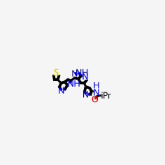 CC(C)C(=O)Nc1cncc(-c2cnc3[nH]nc(-c4cc5c(-c6ccsc6)cncc5[nH]4)c3c2)c1